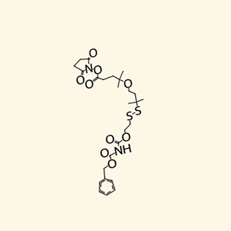 CC(C)(CCC(=O)ON1C(=O)CCC1=O)OCCC(C)(C)SSCCOC(=O)NC(=O)OCc1ccccc1